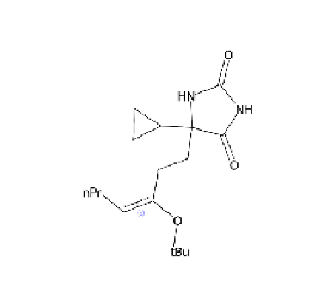 CCC/C=C(\CCC1(C2CC2)NC(=O)NC1=O)OC(C)(C)C